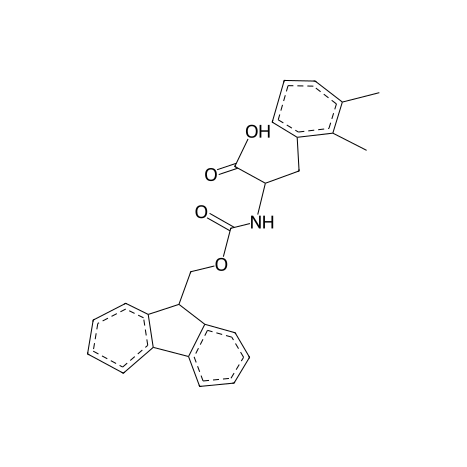 Cc1cccc(CC(NC(=O)OCC2c3ccccc3-c3ccccc32)C(=O)O)c1C